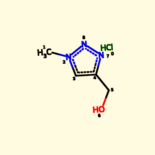 Cl.Cn1cc(CO)nn1